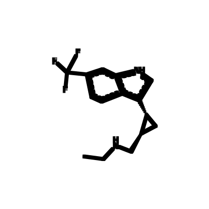 CCNC[C@@H]1C[C@H]1c1c[nH]c2cc(C(F)(F)F)ccc12